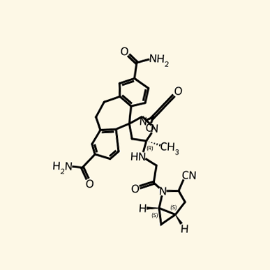 C[C@]1(NCC(=O)N2C(C#N)C[C@@H]3C[C@@H]32)CC2(c3ccc(C(N)=O)cc3CCc3cc(C(N)=O)ccc32)c2nc(=O)on21